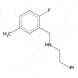 Cc1ccc(F)c(CNCCC(C)C)c1